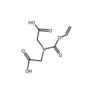 C=COC(=O)N(CC(=O)O)CC(=O)O